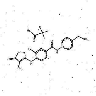 CC1=C(Nc2ccc(C(=O)Nc3ccc(CN)cc3)cc2Cl)CCC1=O.O=C(O)C(F)(F)F